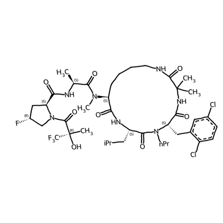 CCCN1C(=O)[C@H](CC(C)C)NC(=O)[C@@H](N(C)C(=O)[C@H](C)NC(=O)[C@@H]2C[C@@H](F)CN2C(=O)[C@@](C)(O)C(F)(F)F)CCCCNC(=O)C(C)(C)NC(=O)[C@@H]1Cc1cc(Cl)ccc1Cl